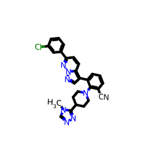 Cn1cnnc1C1CCN(c2c(C#N)cccc2-c2cnn3nc(-c4cccc(Cl)c4)ccc23)CC1